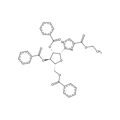 CCOC(=O)c1c[se]c([C@@H]2O[C@H](COC(=O)c3ccccc3)[C@@H](OC(=O)c3ccccc3)[C@@H]2OC(=O)c2ccccc2)n1